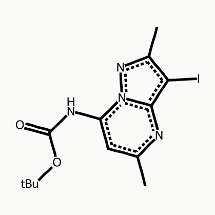 Cc1cc(NC(=O)OC(C)(C)C)n2nc(C)c(I)c2n1